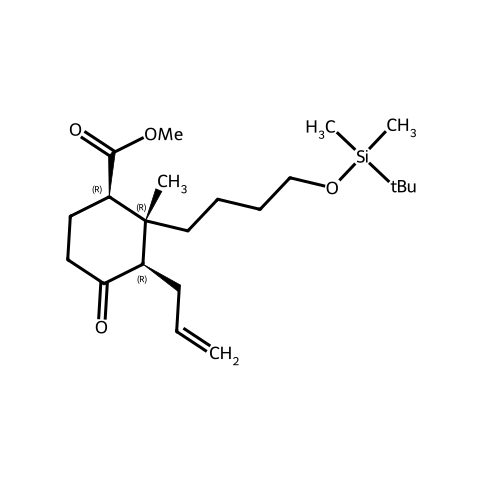 C=CC[C@H]1C(=O)CC[C@@H](C(=O)OC)[C@]1(C)CCCCO[Si](C)(C)C(C)(C)C